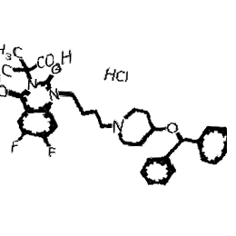 CC(C)(C(=O)O)n1c(=O)c2cc(F)c(F)cc2n(CCCCN2CCC(OC(c3ccccc3)c3ccccc3)CC2)c1=O.Cl